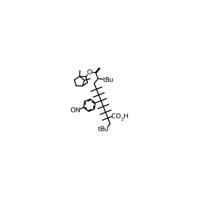 C=C(OC1CC2CCC1(C)C2C)C(CC(C)(C)C(C)(C)C(C)(c1ccc(N=O)cc1)C(C)(C)C(C)(C)C(C)(CC(C)(C)C)C(=O)O)C(C)(C)C